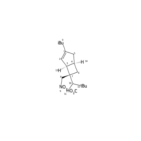 CCC(C)C1=C[C@H]2[C@@H](C1)C[C@]2(C[N+](=O)[O-])C(C(=O)O)C(C)(C)C